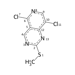 CSc1ncc2c(Cl)ncc(Cl)c2n1